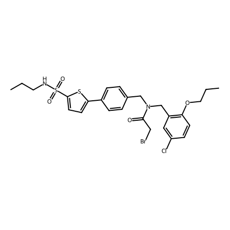 CCCNS(=O)(=O)c1ccc(-c2ccc(CN(Cc3cc(Cl)ccc3OCCC)C(=O)CBr)cc2)s1